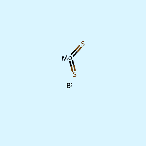 [B].[S]=[Mo]=[S]